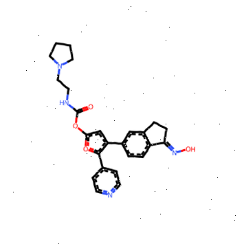 O=C(NCCN1CCCC1)Oc1cc(-c2ccc3c(c2)CCC3=NO)c(-c2ccncc2)o1